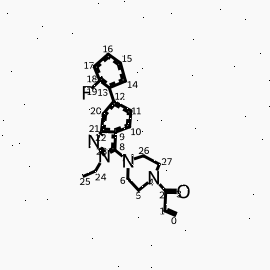 C=CC(=O)N1CCN(c2c3ccc(-c4ccccc4F)cc3nn2CC)CC1